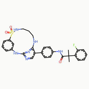 CC(C)(C(=O)Nc1ccc(-c2cnc3nc2NCCCNS(=O)(=O)c2cccc(c2)N3)cc1)c1ccccc1F